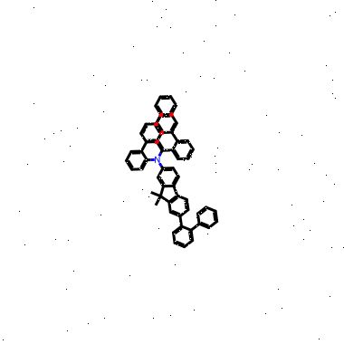 CC1(C)c2cc(-c3ccccc3-c3ccccc3)ccc2-c2ccc(N(c3ccccc3-c3ccc(-c4ccccc4)cc3)c3cc4ccccc4c4ccccc34)cc21